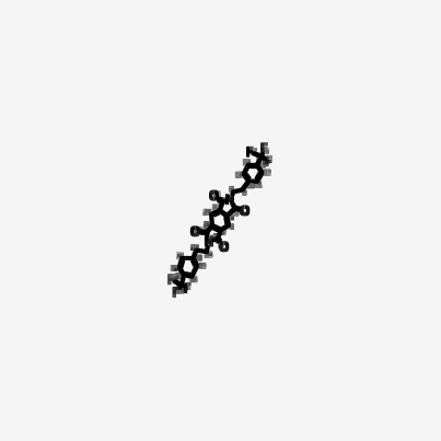 O=c1c2cc3c(=O)n(CCc4ccc(C(F)(F)F)cc4)c(=O)c3cc2c(=O)n1CCc1ccc(C(F)(F)F)cc1